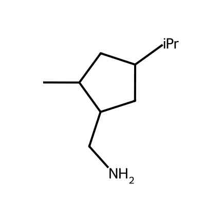 CC(C)C1CC(C)C(CN)C1